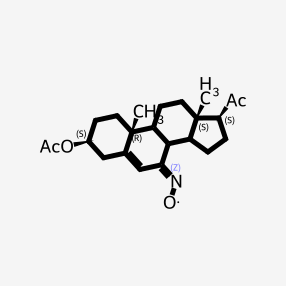 CC(=O)O[C@H]1CC[C@@]2(C)C(=C/C(=N\[O])C3C2CC[C@@]2(C)C3CC[C@@H]2C(C)=O)C1